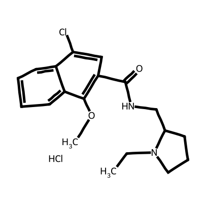 CCN1CCCC1CNC(=O)c1cc(Cl)c2ccccc2c1OC.Cl